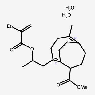 C=C(CC)C(=O)OC(C)C/C1=C2\CC/C(=C(/C)CC1)CCC2C(=O)OC.O.O